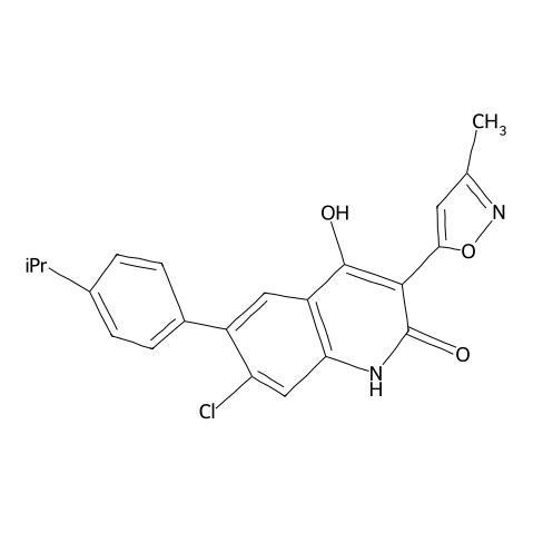 Cc1cc(-c2c(O)c3cc(-c4ccc(C(C)C)cc4)c(Cl)cc3[nH]c2=O)on1